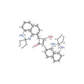 CCC1(CC)N=c2/c(=C3\C(=O)C(c4ccc5cccc6c5c4NC(CC)(CC)N6)=C3O)ccc3cccc(c23)N1